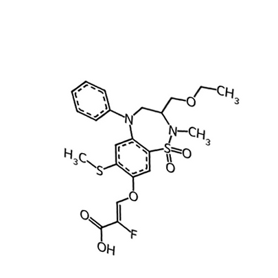 CCOCC1CN(c2ccccc2)c2cc(SC)c(O/C=C(\F)C(=O)O)cc2S(=O)(=O)N1C